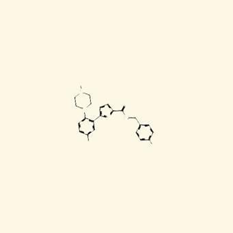 CN1CCN(c2ccc(F)cc2-c2ccc(C(=O)NCc3ccc(Cl)cc3)s2)CC1